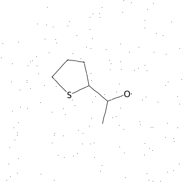 CC([O])C1CCCS1